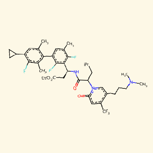 CCOC(=O)C[C@H](NC(=O)C(CC(C)C)n1cc(CCCN(C)C)c(C(F)(F)F)cc1=O)c1c(F)c(C)cc(-c2c(C)cc(C3CC3)c(F)c2C)c1F